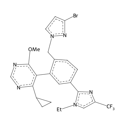 CCn1cc(C(F)(F)F)nc1-c1ccc(Cn2ccc(Br)n2)c(-c2c(OC)ncnc2C2CC2)c1